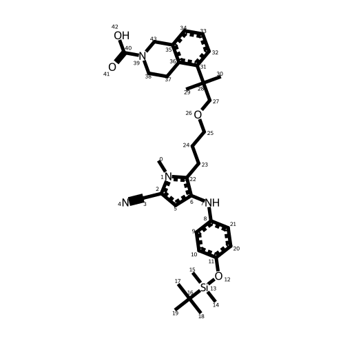 Cn1c(C#N)cc(Nc2ccc(O[Si](C)(C)C(C)(C)C)cc2)c1CCCOCC(C)(C)c1cccc2c1CCN(C(=O)O)C2